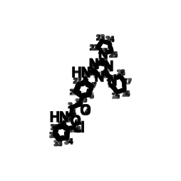 O=C(CC(=O)c1ccc(Nc2nc(N3CCCCC3)nc(N3CCCC3)n2)cc1)Nc1ccccc1Cl